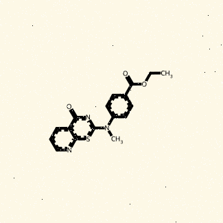 CCOC(=O)c1ccc(N(C)c2nc(=O)c3cccnc3s2)cc1